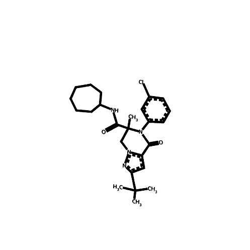 CC(C)(C)c1cc2n(n1)CC(C)(C(=O)NC1CCCCCC1)N(c1cccc(Cl)c1)C2=O